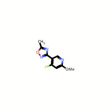 COc1cc(F)c(-c2noc(C)n2)cn1